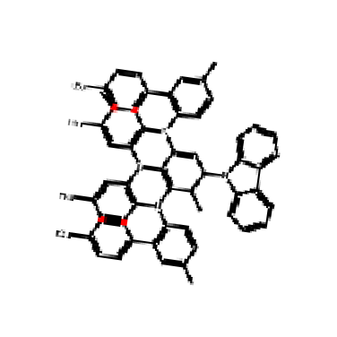 Cc1ccc(N2C3=CC(n4c5ccccc5c5ccccc54)C(C)C4=C3B(C3=C2CC(C)C(C(C)(C)C)=C3)c2cc(C(C)(C)C)ccc2N4c2ccc(C)cc2-c2ccc(C(C)(C)C)cc2)c(-c2ccc(C(C)(C)C)cc2)c1